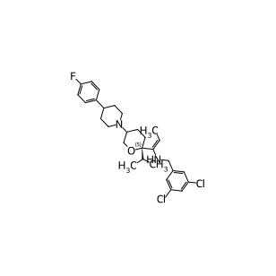 CC=C(NCc1cc(Cl)cc(Cl)c1)[C@@]1(C(C)C)CCC(N2CCC(c3ccc(F)cc3)CC2)CO1